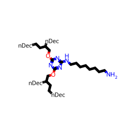 CCCCCCCCCCCCC(CCCCCCCCCC)COc1nc(NCCCCCCCCN)nc(OCC(CCCCCCCCCC)CCCCCCCCCCCC)n1